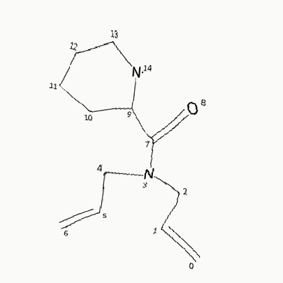 C=CCN(CC=C)C(=O)C1CCCC[N]1